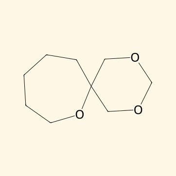 C1CCOC2(CC1)COCOC2